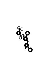 COC(=O)c1cccc(C(=O)Oc2ccc(Cc3ccc(C)c(C4CCCCC4)c3)cc2C2CCCCC2)c1